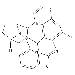 C=CCC1C2CC[C@@H](CN1c1nc(Cl)nc3c(F)cc(F)c(Br)c13)N2Cc1ccccc1